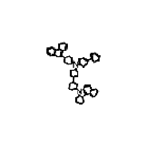 C1=CCCC(C2=CCC(N(C3=CCC(C4=c5ccccc5=C5C=CC=CC5C4)CC3)c3ccc(-c4cccc(-n5c6ccccc6c6c7ccccc7ccc65)c4)cc3)CC2)=C1